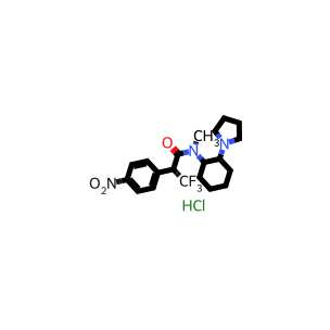 CN(C(=O)C(c1ccc([N+](=O)[O-])cc1)C(F)(F)F)C1CCCCC1N1CCCC1.Cl